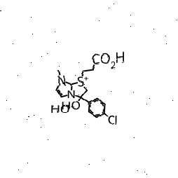 CN1C=CN2C1[S+](CCC(=O)O)CC2(O)c1ccc(Cl)cc1.[OH-]